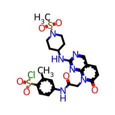 Cc1cc(NC(=O)Cn2c(=O)ccc3cnc(NC4CCN(S(C)(=O)=O)CC4)nc32)ccc1S(=O)(=O)Cl